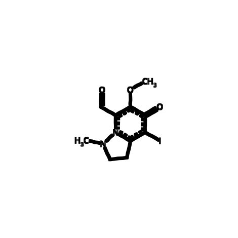 COc1c(C=O)n2c(c(I)c1=O)CCN2C